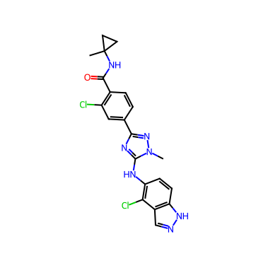 Cn1nc(-c2ccc(C(=O)NC3(C)CC3)c(Cl)c2)nc1Nc1ccc2[nH]ncc2c1Cl